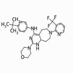 CC(C)(C)c1ccc(NC2=C3CCN(c4ncccc4C(F)(F)F)CCC3NC(N3CCOCC3)=N2)cc1